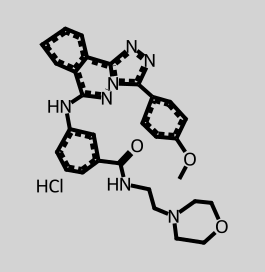 COc1ccc(-c2nnc3c4ccccc4c(Nc4cccc(C(=O)NCCN5CCOCC5)c4)nn23)cc1.Cl